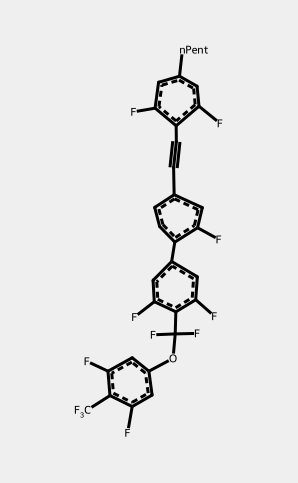 CCCCCc1cc(F)c(C#Cc2ccc(-c3cc(F)c(C(F)(F)Oc4cc(F)c(C(F)(F)F)c(F)c4)c(F)c3)c(F)c2)c(F)c1